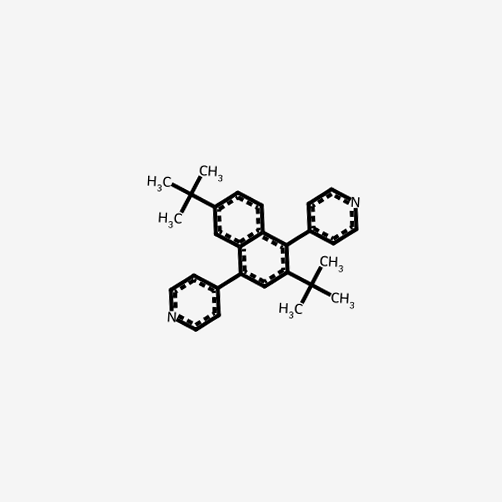 CC(C)(C)c1ccc2c(-c3ccncc3)c(C(C)(C)C)cc(-c3ccncc3)c2c1